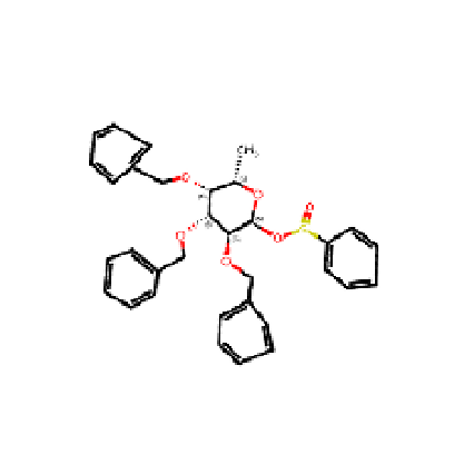 C[C@@H]1O[C@@H](OS(=O)c2ccccc2)[C@@H](OCc2ccccc2)[C@H](OCc2ccccc2)[C@@H]1OCc1ccccc1